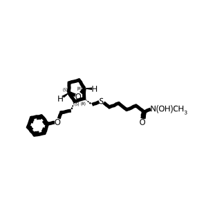 CN(O)C(=O)CCCCSC[C@@H]1[C@H](CCOc2ccccc2)[C@@H]2CC[C@H]1O2